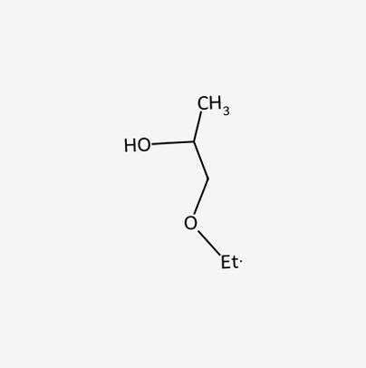 C[CH]OCC(C)O